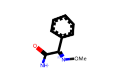 CO/N=C(/C([NH])=O)c1ccccc1